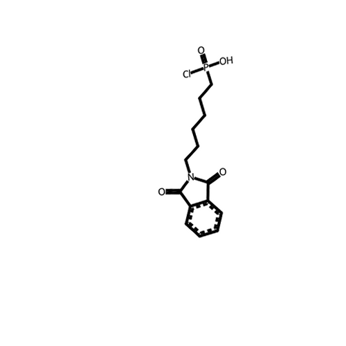 O=C1c2ccccc2C(=O)N1CCCCCCP(=O)(O)Cl